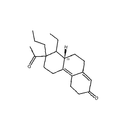 CCCC1(C(C)=O)CCC2=C3CCC(=O)C=C3CC[C@H]2C1CC